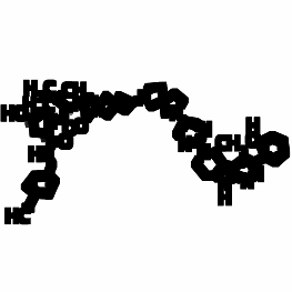 C#Cc1ccc(CNC(=O)[C@@H]2C[C@@H](O)CN2C(=O)[C@@H](NC(=O)N2CC3(CC(N4CCC5(CCN(c6cnc(N7CCc8[nH]c9nnc(-c%10ccccc%10O)cc9c8C7C)nc6)C5)C4)C3)C2)C(C)(C)C)cc1